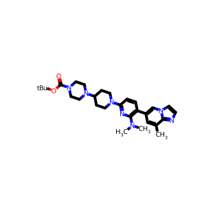 Cc1cc(-c2ccc(N3CCC(N4CCN(C(=O)OC(C)(C)C)CC4)CC3)nc2N(C)C)cn2ccnc12